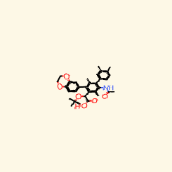 CC(=O)Nc1c(C)c(C(OC(C)(C)C)C(=O)O)c(-c2ccc3c(c2)OCCO3)c(C)c1-c1ccc(C)c(C)c1